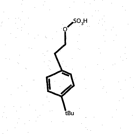 CC(C)(C)c1ccc(CCOS(=O)(=O)O)cc1